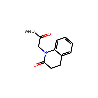 COC(=O)CN1C(=O)CCc2ccccc21